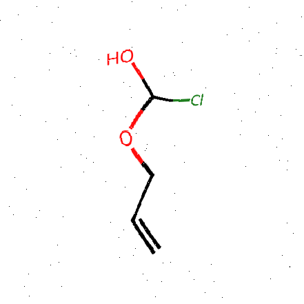 C=CCOC(O)Cl